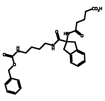 O=C(O)CCCC(=O)NC1(C(=O)NCCCCNC(=O)OCc2ccccc2)Cc2ccccc2C1